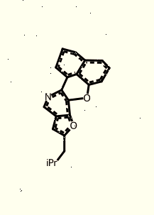 CC(C)Cc1cc2cnc3c(c2o1)Oc1cccc2cccc-3c12